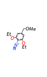 CCOc1cc(COC)cc(OCC)c1[N+]#N